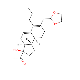 CCCC1=C(CC2OCCO2)CC[C@@H]2C1=CC[C@@]1(C)[C@H]2CC[C@]1(O)C(C)=O